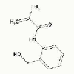 C=C(C)C(=O)Nc1ccccc1CO